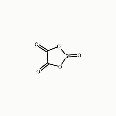 O=C1OS(=O)OC1=O